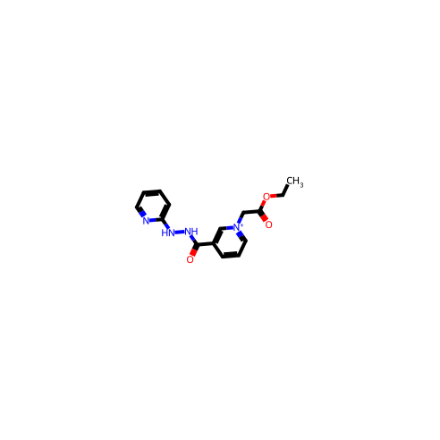 CCOC(=O)C[n+]1cccc(C(=O)NNc2ccccn2)c1